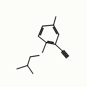 CC(C)COc1c[c]c(F)cc1C#N